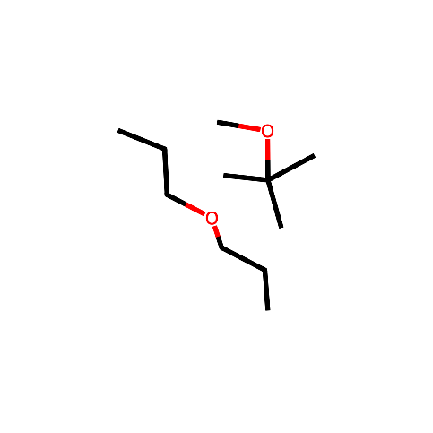 CCCOCCC.COC(C)(C)C